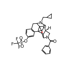 O=C(c1ccccc1)N1C[C@H]2OC34CCC1C2C31CCN(CC2CC2)C4Cc2ccc(OS(=O)(=O)C(F)(F)F)cc21